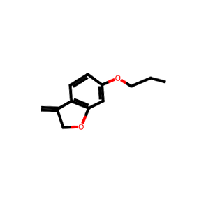 C=C1COc2cc(OCCC)ccc21